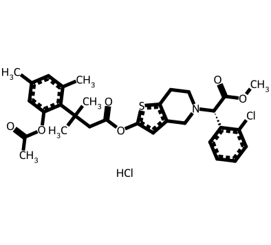 COC(=O)[C@H](c1ccccc1Cl)N1CCc2sc(OC(=O)CC(C)(C)c3c(C)cc(C)cc3OC(C)=O)cc2C1.Cl